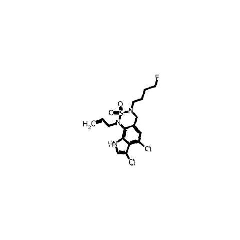 C=CCN1c2c(cc(Cl)c3c(Cl)c[nH]c23)CN(CCCCF)S1(=O)=O